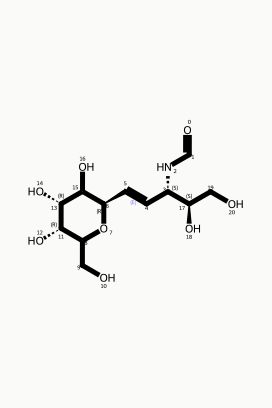 O=CN[C@@H](/C=C/[C@H]1OC(CO)[C@H](O)[C@H](O)C1O)[C@H](O)CO